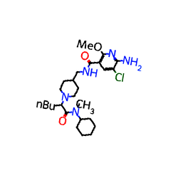 CCCCC(C(=O)N(C)C1CCCCC1)N1CCC(CNC(=O)c2cc(Cl)c(N)nc2OC)CC1